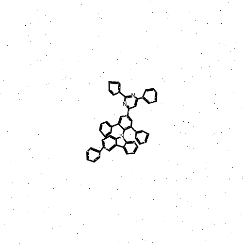 c1ccc(-c2ccc3c(c2)c2ccccc2n3-c2c(-c3ccccc3)cc(-c3cc(-c4ccccc4)nc(-c4ccccc4)n3)cc2-c2ccccc2)cc1